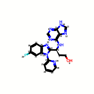 OCC[C@H](Nc1ncnc2[nH]cnc12)c1nc2ccc(F)cc2n1-c1ccccn1